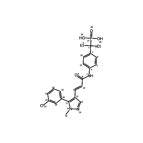 CCC(CC)(c1ccc(NC(=O)/C=C/c2cnn(C)c2-c2cccc(Cl)c2)cc1)P(=O)(O)O